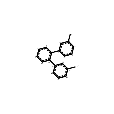 Cc1cccc(-c2ccccc2-c2cccc(I)c2)c1